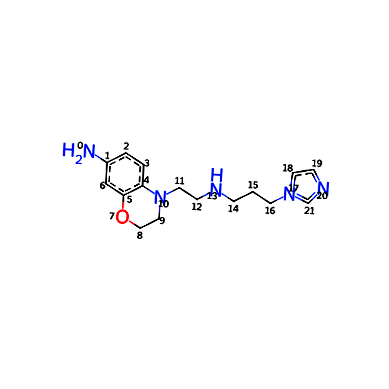 Nc1ccc2c(c1)OCCN2CCNCCCn1ccnc1